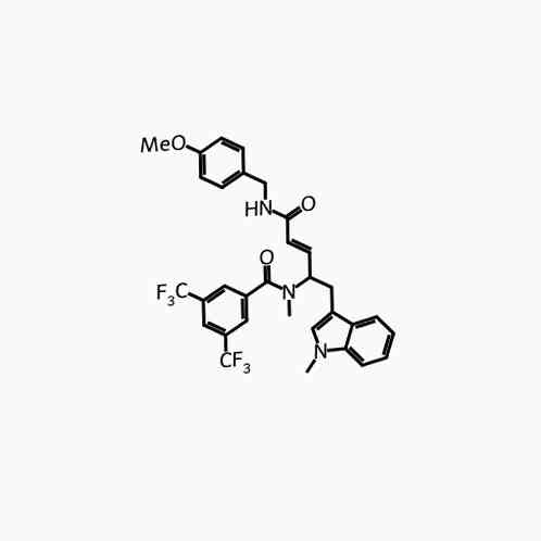 COc1ccc(CNC(=O)C=CC(Cc2cn(C)c3ccccc23)N(C)C(=O)c2cc(C(F)(F)F)cc(C(F)(F)F)c2)cc1